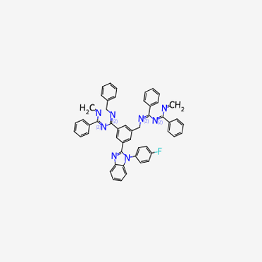 C=N/C(=N\C(=N/Cc1cc(C(/N=C(\N=C)c2ccccc2)=N/Cc2ccccc2)cc(-c2nc3ccccc3n2-c2ccc(F)cc2)c1)c1ccccc1)c1ccccc1